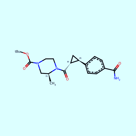 C[C@H]1CN(C(=O)OC(C)(C)C)CCN1C(=O)[C@@H]1C[C@H]1c1ccc(C(N)=O)cc1